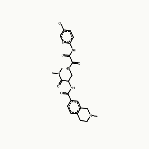 CN1CCc2ccc(C(=O)NC(CNC(=O)C(=O)Nc3ccc(Cl)cn3)C(=O)N(C)C)cc2C1